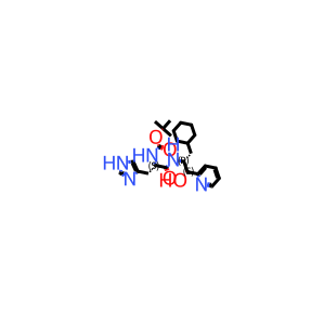 CC(C)(C)OC(=O)N[C@@H](Cc1c[nH]cn1)C(=O)N[C@H](CC1CCCCC1)[C@H](O)c1ccccn1